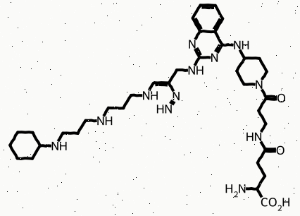 N=N/C(=C\NCCCNCCCNC1CCCCC1)CNc1nc(NC2CCN(C(=O)CCNC(=O)CCC(N)C(=O)O)CC2)c2ccccc2n1